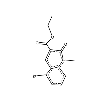 CCOC(=O)c1cc2c(Br)cccc2n(C)c1=O